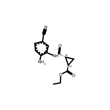 CCOC(=O)[C@@H]1C[C@H]1C(=O)Nc1cc(C#N)ccc1N